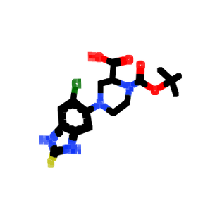 CC(C)(C)OC(=O)N1CCN(c2cc3[nH]c(=S)[nH]c3cc2Cl)CC1C(=O)O